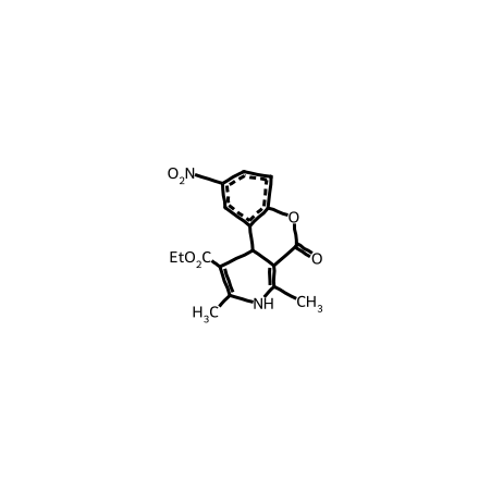 CCOC(=O)C1=C(C)NC(C)=C2C(=O)Oc3ccc([N+](=O)[O-])cc3C12